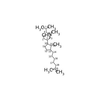 CCC(CN(C)CC(C)C)C1CCC(CCCCCC(C)C)C1C